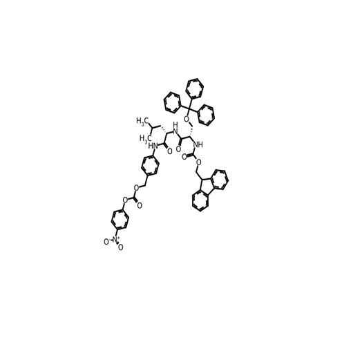 CC(C)C[C@H](NC(=O)[C@H](COC(c1ccccc1)(c1ccccc1)c1ccccc1)NC(=O)OCC1c2ccccc2-c2ccccc21)C(=O)Nc1ccc(COC(=O)Oc2ccc([N+](=O)[O-])cc2)cc1